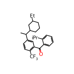 CCC1CCCC(C(C)c2ccc(C(F)(F)F)c(C(=O)c3ccccc3C(C)C)c2)C1